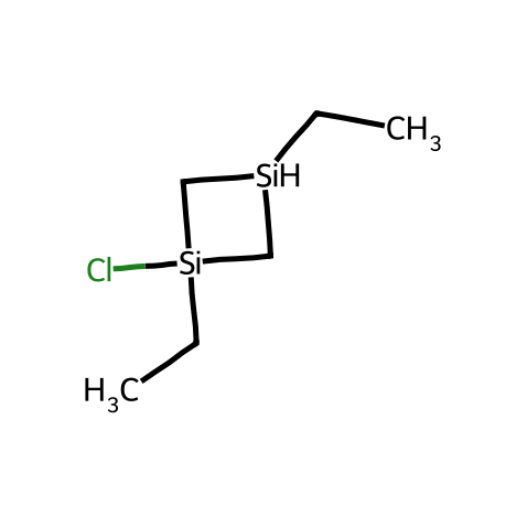 CC[SiH]1C[Si](Cl)(CC)C1